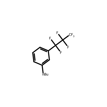 [CH2]CCCc1cccc(C(F)(F)C(F)(F)C(F)(F)F)c1